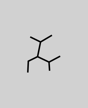 CC[C](C(C)C)C(C)C